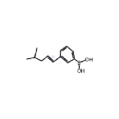 CC(C)C/C=C/c1cccc(B(O)O)c1